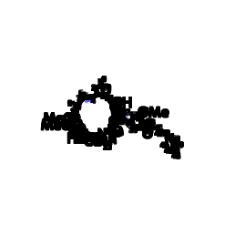 C=CCC1/C=C(\C)C[C@H](C)C[C@H](OC)[C@H]2O[C@@](O)(C(=O)C(=O)N3CCCCC3C(=O)O[C@H](/C(C)=C/[C@@H]3CC[C@@H](OC(=O)CCCN4CCN(C)CC4)[C@H](OC)C3)[C@H](C)[C@@H](O)CC1=O)[C@H](C)C[C@@H]2OC